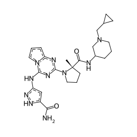 C[C@@]1(C(=O)NC2CCCN(CC3CC3)C2)CCCN1c1nc(Nc2cc(C(N)=O)[nH]n2)n2cccc2n1